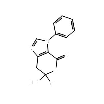 CC1(C)Cc2ncn(-c3ccccc3)c2C(=O)O1